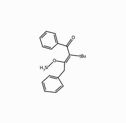 CC(C)(C)C(C(=O)c1ccccc1)=C(Cc1ccccc1)O[SiH3]